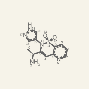 C[C@H](N)C1=Cc2ncccc2S(=O)(=O)N1c1cn[nH]c1